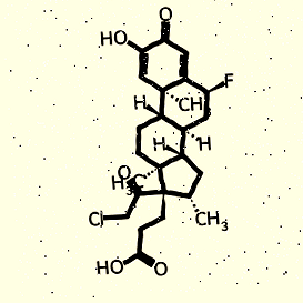 C[C@H]1C[C@H]2[C@@H]3C[C@H](F)C4=CC(=O)C(O)=C[C@]4(C)[C@H]3CC[C@]2(C)[C@@]1(CCC(=O)O)C(=O)CCl